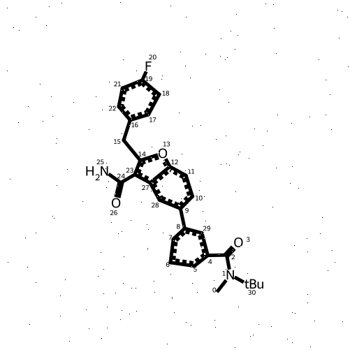 CN(C(=O)c1cccc(-c2ccc3oc(Cc4ccc(F)cc4)c(C(N)=O)c3c2)c1)C(C)(C)C